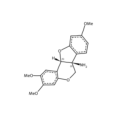 COc1ccc2c(c1)O[C@H]1c3cc(OC)c(OC)cc3OC[C@@]21N